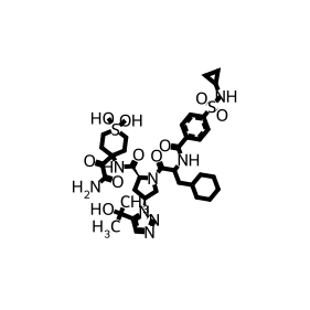 CC(C)(O)c1cnnn1[C@H]1C[C@@H](C(=O)NC2(C(=O)C(N)=O)CCS(O)(O)CC2)N(C(=O)C(CC2CCCCC2)NC(=O)c2ccc(S(=O)(=O)NC3CC3)cc2)C1